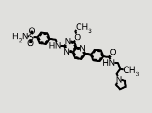 CCOc1nc(NCc2ccc(S(N)(=O)=O)cc2)nc2ccc(-c3ccc(C(=O)NCC(C)CN4CCCC4)cc3)nc12